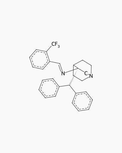 FC(F)(F)c1ccccc1C=N[C@]1(C(c2ccccc2)c2ccccc2)CN2CCC1CC2